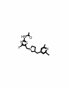 CC(=O)Nc1nc(F)c(CN2CCC(Cc3cc(C)nc(C)c3)C2)s1